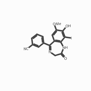 COc1cc2c(c(I)c1O)NC(=O)CN=C2c1cccc(C#N)c1